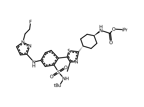 Cc1nc([C@H]2CC[C@H](NC(=O)OC(C)C)CC2)sc1-c1ccc(Nc2ccn(CCF)n2)cc1S(=O)(=O)NC(C)(C)C